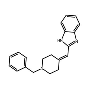 C(=C1CCN(Cc2ccccc2)CC1)c1nc2ccccc2[nH]1